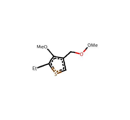 CCc1scc(COOC)c1OC